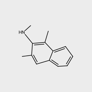 CNc1c(C)cc2ccccc2c1C